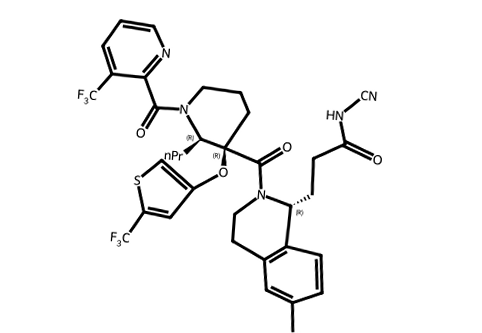 CCC[C@H]1N(C(=O)c2ncccc2C(F)(F)F)CCC[C@]1(Oc1csc(C(F)(F)F)c1)C(=O)N1CCc2cc(Cl)ccc2[C@H]1CCC(=O)NC#N